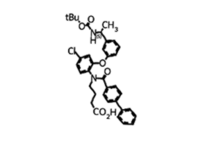 C[C@H](NC(=O)OC(C)(C)C)c1cccc(Oc2cc(Cl)ccc2N(CCCC(=O)O)C(=O)c2ccc(-c3ccccc3)cc2)c1